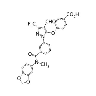 CN(C(=O)c1cccc(-n2nc(C(F)(F)F)c(C=O)c2Oc2ccc(C(=O)O)cc2)c1)c1ccc2c(c1)OCO2